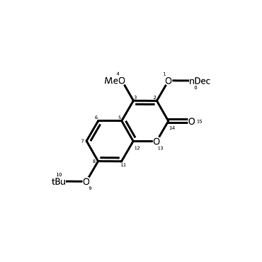 CCCCCCCCCCOc1c(OC)c2ccc(OC(C)(C)C)cc2oc1=O